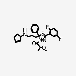 COC(C)C(=O)N1N=C(c2cc(F)ccc2F)SC1(CCCNC1C=CCC1)c1ccccc1